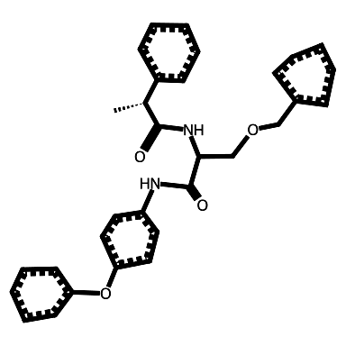 C[C@@H](C(=O)NC(COCc1ccccc1)C(=O)Nc1ccc(Oc2ccccc2)cc1)c1ccccc1